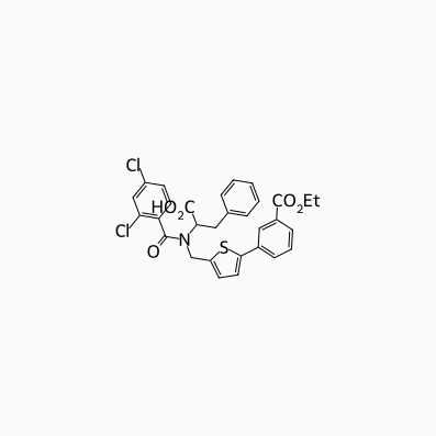 CCOC(=O)c1cccc(-c2ccc(CN(C(=O)c3ccc(Cl)cc3Cl)C(Cc3ccccc3)C(=O)O)s2)c1